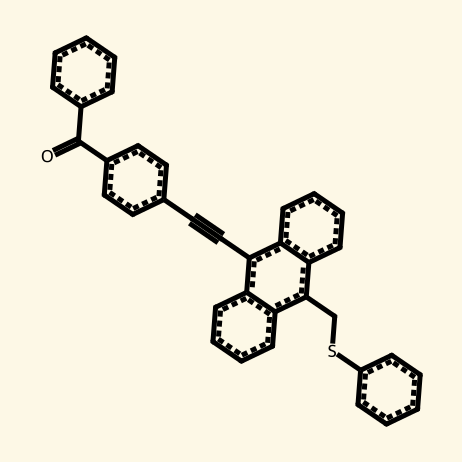 O=C(c1ccccc1)c1ccc(C#Cc2c3ccccc3c(CSc3ccccc3)c3ccccc23)cc1